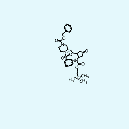 CS(C)(C)CCOC(=O)NC1CC(=O)CC1CC[C@H]1CN(C(=O)OCc2ccccc2)CCN1S(=O)(=O)c1ccccc1